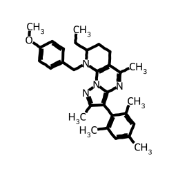 CCC1CCc2c(C)nc3c(-c4c(C)cc(C)cc4C)c(C)nn3c2N1Cc1ccc(OC)cc1